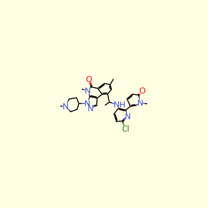 Cc1cc(C(C)Nc2ccc(Cl)nc2-c2ccc(=O)n(C)c2)c2c(c1)c(=O)n(C)c1c2cnn1C1CCN(C)CC1